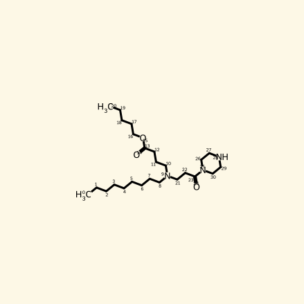 CCCCCCCCCN(CCCC(=O)OCCCCC)CCC(=O)N1CCNCC1